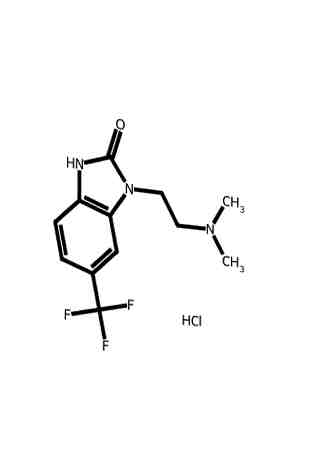 CN(C)CCn1c(=O)[nH]c2ccc(C(F)(F)F)cc21.Cl